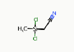 C[Si](Cl)(Cl)CC#N